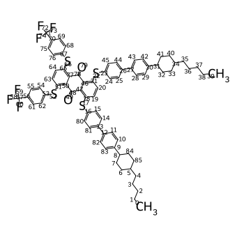 CCCCCC1CCC(c2ccc(-c3ccc(Sc4ccc(Sc5ccc(-c6ccc(C7CCC(CCCCC)CC7)cc6)cc5)c5c4C(=O)c4c(Sc6ccc(C(F)(F)F)cc6)ccc(Sc6ccc(C(F)(F)F)cc6)c4C5=O)cc3)cc2)CC1